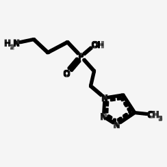 Cc1cn(CCP(=O)(O)CCCN)nn1